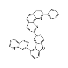 c1ccc(-c2ccc3ccc4ccc(-c5ccc6oc7cccc(-c8ccc9cccnc9c8)c7c6c5)nc4c3n2)cc1